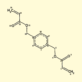 C=CC(=O)OCc1ccc(COC(=O)C=C)cc1